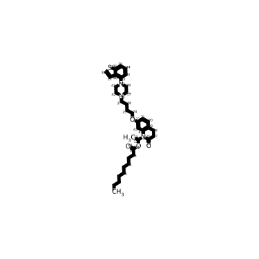 CCCCCCCCCC(=O)OC(C)N1C(=O)CCc2ccc(OCCCCN3CCN(c4cccc5sccc45)CC3)cc21